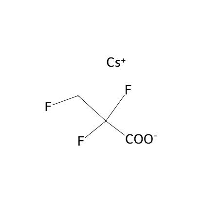 O=C([O-])C(F)(F)CF.[Cs+]